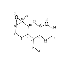 CCC(C1CCC2OC2(C)C1)C1CCCOC1C